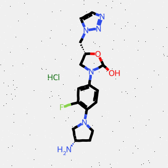 Cl.N[C@H]1CCN(c2ccc(N3C[C@H](Cn4ccnn4)OC3O)cc2F)C1